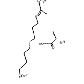 CCC(=O)O.CCCCCCCCCCCCCCCCCCN=C(C)C(=O)O.[NaH]